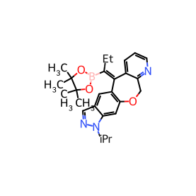 CCC(B1OC(C)(C)C(C)(C)O1)=C1c2cc3cnn(C(C)C)c3cc2OCc2ncccc21